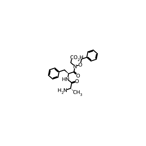 C[C@H](N)C(=O)N[C@@H](Cc1ccccc1)C(=O)N(CC(=O)O)OCc1ccccc1